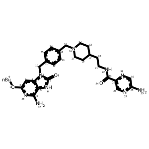 CCCCOc1cc2c([nH]c(=O)n2Cc2ccc(CN3CCC(CCNC(=O)c4cnc(N)cn4)CC3)cc2)c(N)n1